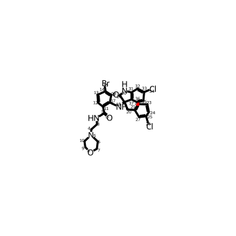 O=C(NCCN1CCOCC1)c1ccc(Br)cc1NC1(Cc2cccc(Cl)c2)C(=O)Nc2cc(Cl)ccc21